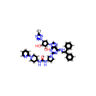 CCc1nnn([C@H]2C[C@@H](n3cnc4c(NCC(c5ccccc5)c5ccccc5)nc(N5CC[C@@H](NC(=O)NC6CCN(c7ccccn7)CC6)C5)nc43)[C@H](O)[C@@H]2O)n1